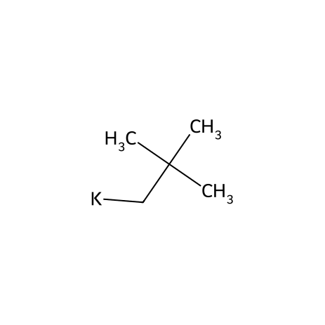 CC(C)(C)[CH2][K]